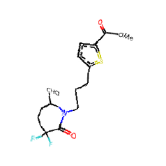 COC(=O)c1ccc(CCCN2C(=O)C(F)(F)CC2C=O)s1